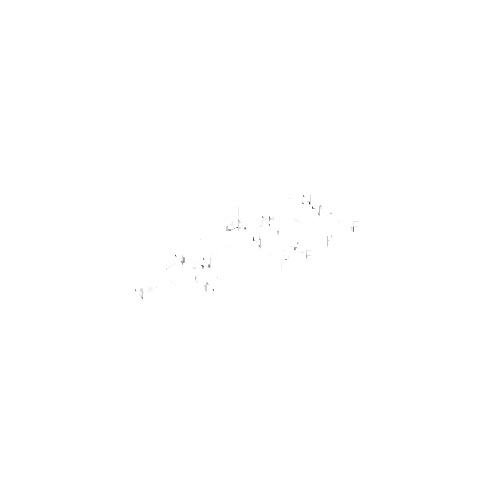 N#Cc1cnc2c(c1)ncn2[C@H]1CC[C@@H](Nc2ncc(C(F)(F)F)c(-c3cnn(CC(F)F)c3)n2)C1